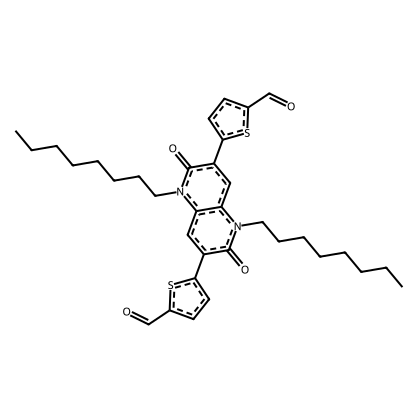 CCCCCCCCn1c(=O)c(-c2ccc(C=O)s2)cc2c1cc(-c1ccc(C=O)s1)c(=O)n2CCCCCCCC